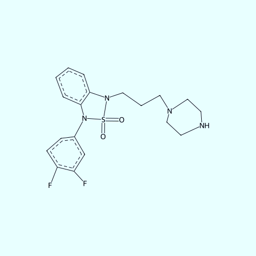 O=S1(=O)N(CCCN2CCNCC2)c2ccccc2N1c1ccc(F)c(F)c1